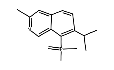 C=P(C)(C)c1c(C(C)C)ccc2cc(C)ncc12